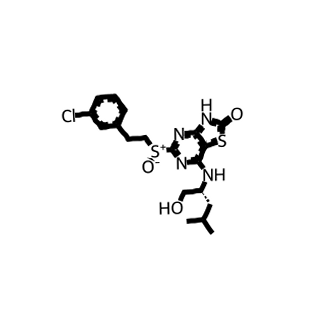 CC(C)C[C@H](CO)Nc1nc([S@@+]([O-])CCc2cccc(Cl)c2)nc2[nH]c(=O)sc12